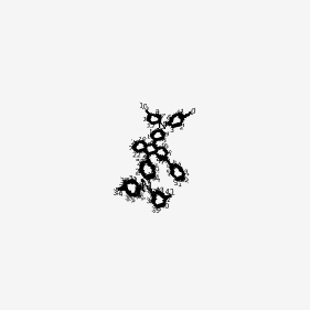 Cc1ccc(N(c2ccc(C)cc2)c2ccc(-c3c4ccccc4c(-c4ccc(N(c5ccc(C)cc5)c5cccc(C)c5)cc4)c4cc(-c5ccccc5)ccc34)cc2)cc1